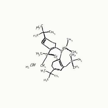 C[SiH](C)[Zr]([C]1=C([Si](C)(C)C)C=C(C(C)(C)C)C1)[C]1=C([Si](C)(C)C)C=C(C(C)(C)C)C1.Cl.Cl